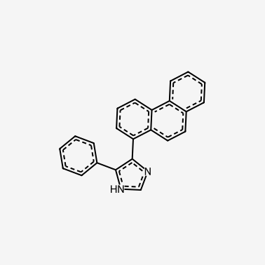 c1ccc(-c2[nH]cnc2-c2cccc3c2ccc2ccccc23)cc1